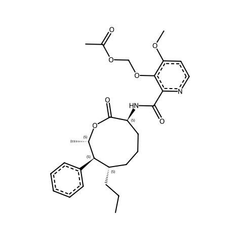 CCC[C@H]1CCC[C@H](NC(=O)c2nccc(OC)c2OCOC(C)=O)C(=O)O[C@@H](C)[C@@H]1c1ccccc1